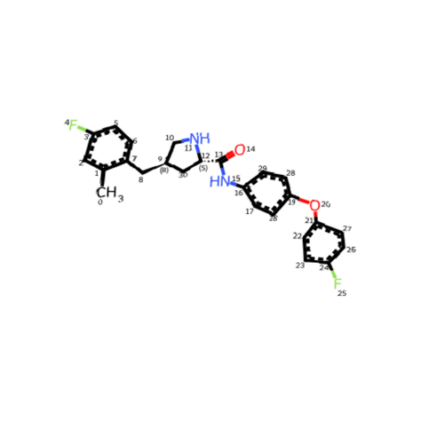 Cc1cc(F)ccc1C[C@H]1CN[C@H](C(=O)Nc2ccc(Oc3ccc(F)cc3)cc2)C1